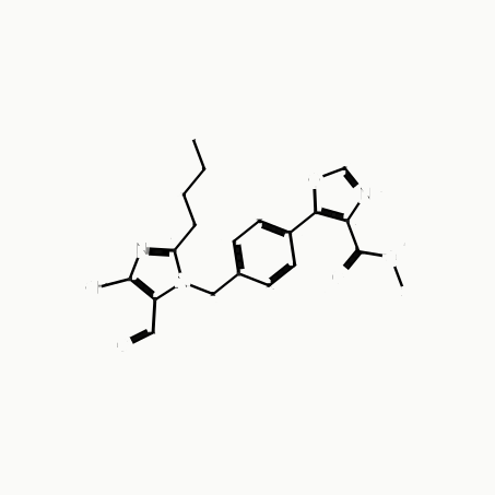 CCCCc1nc(Cl)c(C=O)n1Cc1ccc(-c2ocnc2C(=O)OC)cc1